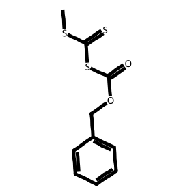 CSC(=S)SC(=O)OCc1ccccc1